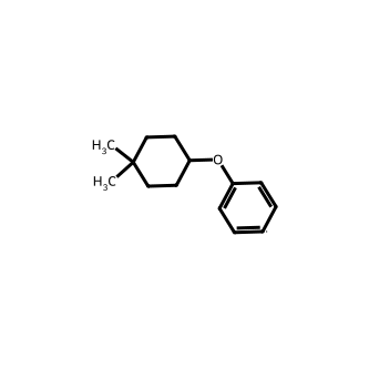 CC1(C)CCC(Oc2cc[c]cc2)CC1